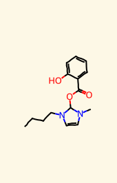 CCCCN1C=CN(C)C1OC(=O)c1ccccc1O